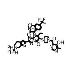 [2H]C([2H])([2H])N1CCc2cc(-c3nc4n(C(C(N)=O)c5ccc(C(F)(F)F)cc5Cl)c(CC)c(N5CCN(C(=O)c6ncnc(C)c6O)CC5)c(=O)n4n3)sc2C1